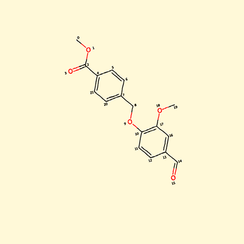 COC(=O)c1ccc(COc2ccc(C=O)cc2OC)cc1